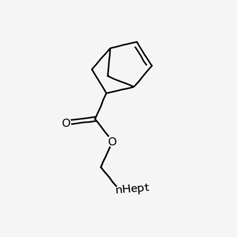 CCCCCCCCOC(=O)C1CC2C=CC1C2